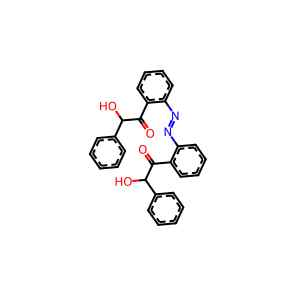 O=C(c1ccccc1N=Nc1ccccc1C(=O)C(O)c1ccccc1)C(O)c1ccccc1